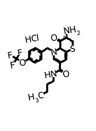 CCCCNC(=O)C1=CN(Cc2ccc(OC(F)(F)F)cc2)C2C(=O)[C@@H](N)CSC2=C1.Cl